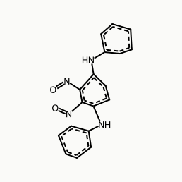 O=Nc1c(Nc2ccccc2)ccc(Nc2ccccc2)c1N=O